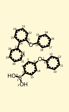 OB(O)c1ccc(Oc2ccccc2)cc1.c1ccc(Oc2ccccc2-c2ccccn2)cc1